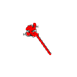 COCCOCCOCCOCCOCCOCCOCCOCCOCCOCCOCCOCCn1cc(CC(C(=O)N[C@H](C(=O)N[C@@H](C)C(=O)Nc2ccc(COC(=O)N(CCOC34CC5(C)CC(C)(CC(Cn6ncc(-c7ccc(N8CCc9cccc(C(=O)Nc%10nc%11ccccc%11s%10)c9C8)nc7C(=O)O)c6C)(C5)C3)C4)CCS(=O)(=O)O)c(CC[C@@H]3O[C@H](C(=O)O)[C@@H](O)[C@H](O)[C@H]3O)c2)C(C)C)N2C(=O)C=CC2=O)nn1